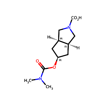 CN(C)C(=O)O[C@@H]1C[C@@H]2CN(C(=O)O)C[C@@H]2C1